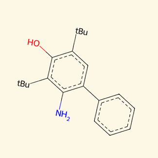 CC(C)(C)c1cc(-c2ccccc2)c(N)c(C(C)(C)C)c1O